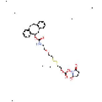 O=C(NCCOCCSSCCOC(=O)ON1C(=O)CCC1=O)OC1Cc2ccccc2CCc2ccccc21